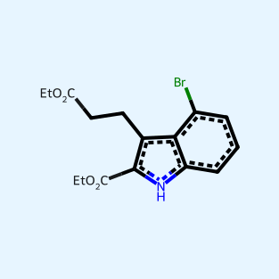 CCOC(=O)CCc1c(C(=O)OCC)[nH]c2cccc(Br)c12